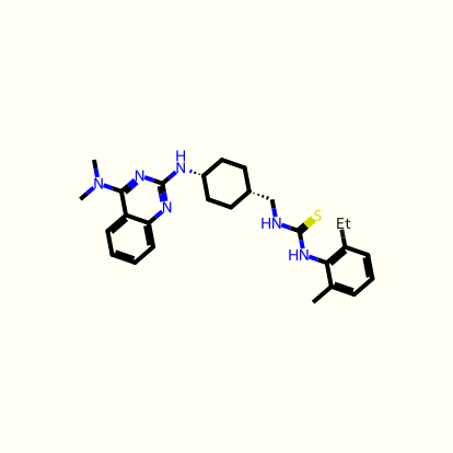 CCc1cccc(C)c1NC(=S)NC[C@H]1CC[C@@H](Nc2nc(N(C)C)c3ccccc3n2)CC1